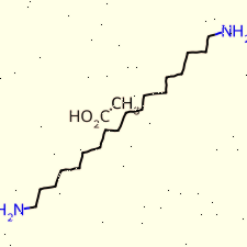 CC(=O)O.NCCCCCCCCCCCCCCCCCCN